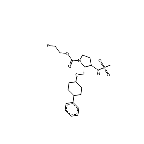 CS(=O)(=O)NC1CCN(C(=O)OCCF)[C@H]1COC1CCC(c2ccccc2)CC1